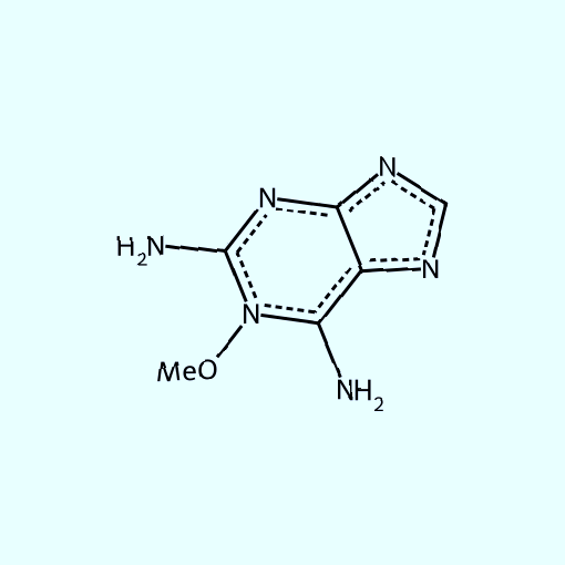 COn1c(N)nc2ncnc-2c1N